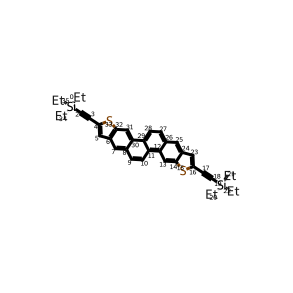 CC[Si](C#Cc1cc2cc3ccc4c5cc6sc(C#C[Si](CC)(CC)CC)cc6cc5ccc4c3cc2s1)(CC)CC